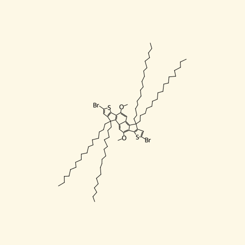 CCCCCCCCCCCCCCCCCC1(CCCCCCCCCCCCCCCCC)c2cc(Br)sc2-c2c(OC)cc3c4c(c(OC)cc3c21)-c1sc(Br)cc1C4(CCCCCCCCCCCCCCCCC)CCCCCCCCCCCCCCCCC